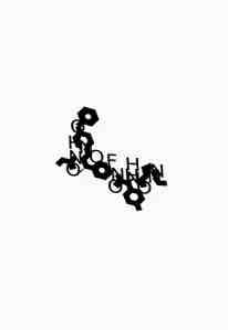 CCC(=O)N[C@@H](C(=O)N1CCC(Oc2ccccc2)CC1)[C@@H](C)c1ccc(NC(=O)[C@@H](NC(=O)c2ccnn2CC)C2CCC(C)CC2)c(F)c1